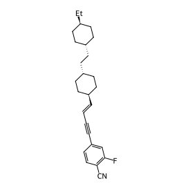 CC[C@H]1CC[C@H](CC[C@H]2CC[C@H](C=CC#Cc3ccc(C#N)c(F)c3)CC2)CC1